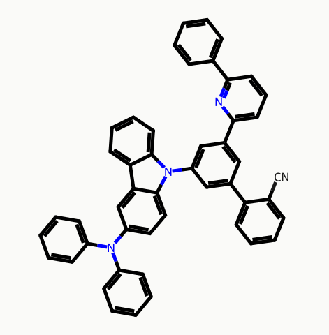 N#Cc1ccccc1-c1cc(-c2cccc(-c3ccccc3)n2)cc(-n2c3ccccc3c3cc(N(c4ccccc4)c4ccccc4)ccc32)c1